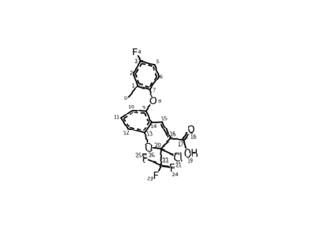 Cc1cc(F)ccc1Oc1cccc2c1C=C(C(=O)O)C(Cl)(C(F)(F)F)O2